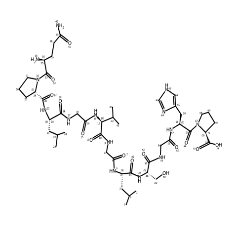 CC(C)C[C@H](NC(=O)CNC(=O)[C@@H](NC(=O)CNC(=O)[C@H](CC(C)C)NC(=O)[C@@H]1CCCN1C(=O)[C@@H](N)CCC(N)=O)C(C)C)C(=O)N[C@@H](CO)C(=O)NCC(=O)N[C@@H](Cc1c[nH]cn1)C(=O)N1CCC[C@H]1C(=O)O